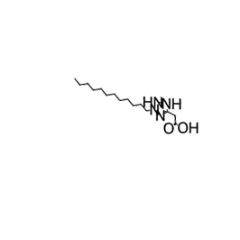 CCCCCCCCCCCCN1N=C(CC(=O)O)NN1